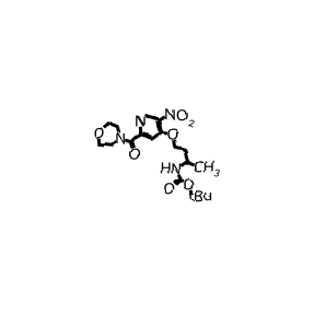 CC(CCOc1cc(C(=O)N2CCOCC2)ncc1[N+](=O)[O-])NC(=O)OC(C)(C)C